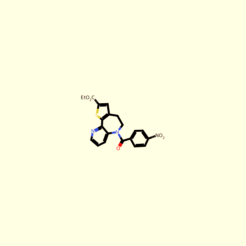 CCOC(=O)c1cc2c(s1)-c1ncccc1N(C(=O)c1ccc([N+](=O)[O-])cc1)CC2